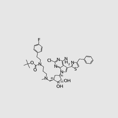 CN(CCCN(CCc1ccc(F)cc1)C(=O)OC(C)(C)C)C[C@H]1C[C@@H](n2cc(-c3nc(Cc4ccccc4)cs3)c3c(N)nc(Cl)nc32)[C@H](O)[C@@H]1O